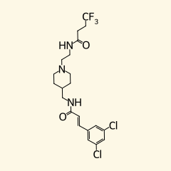 O=C(C=Cc1cc(Cl)cc(Cl)c1)NCC1CCN(CCNC(=O)CCC(F)(F)F)CC1